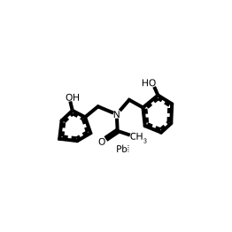 CC(=O)N(Cc1ccccc1O)Cc1ccccc1O.[Pb]